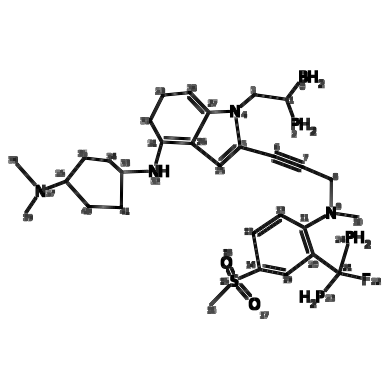 BC(P)Cn1c(C#CCN(C)c2ccc(S(C)(=O)=O)cc2C(F)(P)P)cc2c1=CCCC=2NC1CCC(N(C)C)CC1